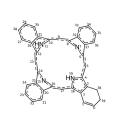 C1=Cc2c(c3cc4nc(cc5[nH]c(cc6nc(cc2[nH]3)-c2ccccc2-6)c2ccccc52)-c2ccccc2-4)CC1